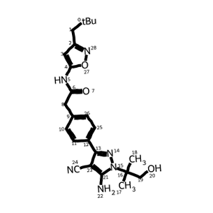 CC(C)(C)Cc1cc(NC(=O)Cc2ccc(-c3nn(C(C)(C)CO)c(N)c3C#N)cc2)on1